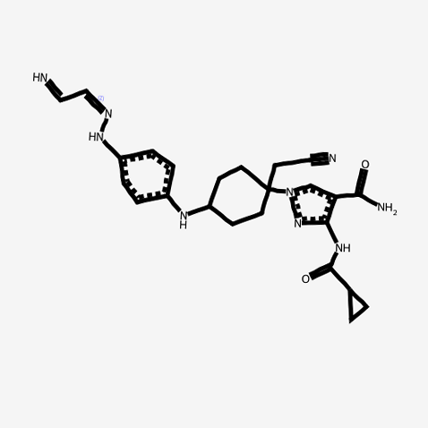 N#CCC1(n2cc(C(N)=O)c(NC(=O)C3CC3)n2)CCC(Nc2ccc(N/N=C\C=N)cc2)CC1